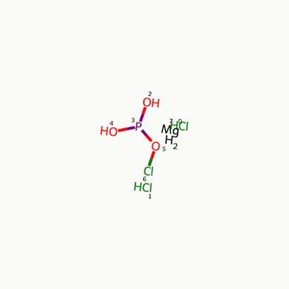 Cl.Cl.OP(O)OCl.[MgH2]